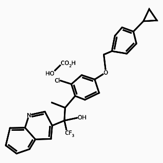 CC(c1ccc(OCc2ccc(C3CC3)cc2)cc1Cl)C(O)(c1cnc2ccccc2c1)C(F)(F)F.O=C(O)O